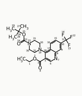 CCOC(=O)c1cnc2cc(C(F)(F)F)ccc2c1N1CCN(C(=O)OC(C)(C)C)CC1